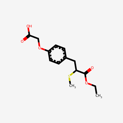 CCOC(=O)C(Cc1ccc(OCC(=O)O)cc1)SC